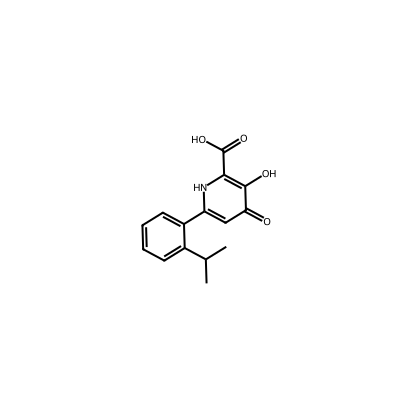 CC(C)c1ccccc1-c1cc(=O)c(O)c(C(=O)O)[nH]1